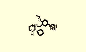 CCOc1ccc(-n2cnnn2)cc1CN[C@H]1CCCN[C@H]1c1ccccc1